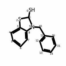 SC1Sc2ccccc2N1Cc1ccccc1